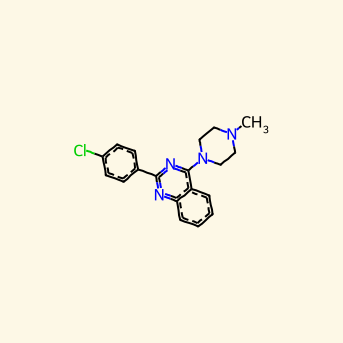 CN1CCN(c2nc(-c3ccc(Cl)cc3)nc3ccccc23)CC1